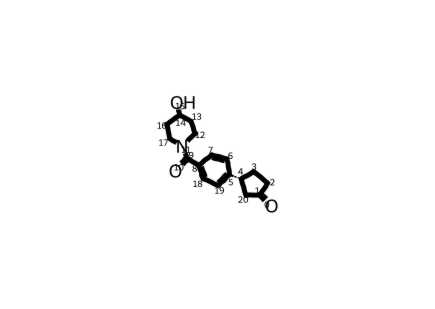 O=C1CC[C@@H](c2ccc(C(=O)N3CCC(O)CC3)cc2)C1